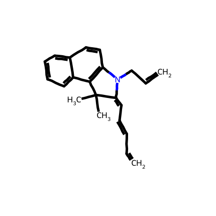 C=C/C=C/C=C1/N(CC=C)c2ccc3ccccc3c2C1(C)C